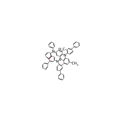 Cc1cc2c3c(c1)N(c1ccc(-c4ccccc4)cc1C)c1ccc(N(c4ccccc4)c4ccccc4)cc1B3N(c1cccc(-c3ccccc3)c1)c1ccc(-c3ccccc3)cc1-2